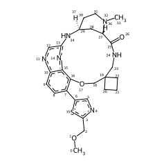 COCc1ncc(-c2ccc3ncc4nc3c2OCC2(CCC2)CNC(=O)[C@@H]2C[C@H](CCN2C)N4)s1